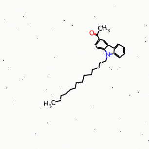 CCCCCCCCCCCCCCn1c2ccccc2c2cc(C(C)=O)ccc21